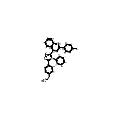 CCCCOc1ccc(-c2nnc(-c3cc(-c4ccc(C)cc4)nc4c#cccc34)n2-c2ccccc2)cc1